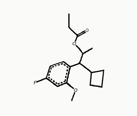 CCC(=O)OC(C)C(c1ccc(F)cc1OC)C1CCC1